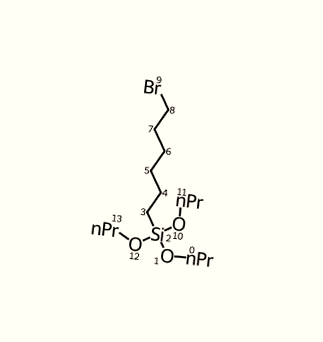 CCCO[Si](CCCCCCBr)(OCCC)OCCC